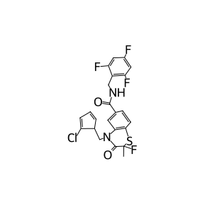 CC1(F)Sc2ccc(C(=O)NCc3c(F)cc(F)cc3F)cc2N(CC2C=CC=C2Cl)C1=O